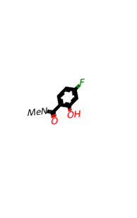 CNC(=O)c1ccc(F)cc1O